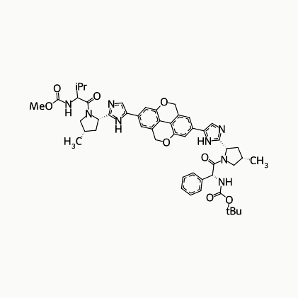 COC(=O)NC(C(=O)N1C[C@@H](C)C[C@H]1c1ncc(-c2cc3c4c(c2)OCc2cc(-c5cnc([C@@H]6C[C@H](C)CN6C(=O)[C@H](NC(=O)OC(C)(C)C)c6ccccc6)[nH]5)cc(c2-4)OC3)[nH]1)C(C)C